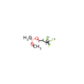 COB(C)OCCC[Si](F)(F)F